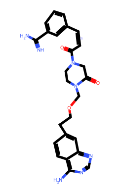 N=C(N)c1cccc(/C=C\C(=O)N2CCN(COCCc3ccc4c(N)ncnc4c3)C(=O)C2)c1